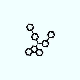 c1ccc(-c2ccc(N(c3cccc(-c4ccccc4)c3)c3cc4ccccc4c4ccccc34)cc2)cc1